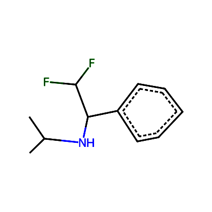 CC(C)NC(c1ccccc1)C(F)F